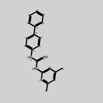 Cc1cc(C)nc(NC(=N)Nc2ccc(-c3ccccc3)cc2)c1